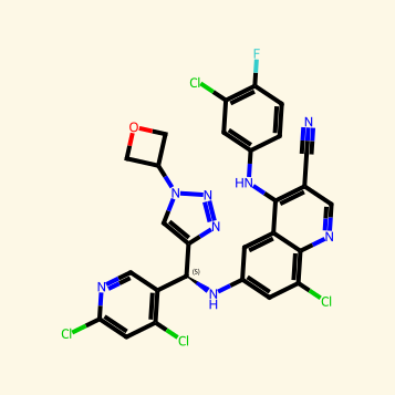 N#Cc1cnc2c(Cl)cc(N[C@H](c3cn(C4COC4)nn3)c3cnc(Cl)cc3Cl)cc2c1Nc1ccc(F)c(Cl)c1